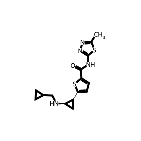 Cc1nnc(NC(=O)c2ccc([C@@H]3C[C@H]3NCC3CC3)s2)s1